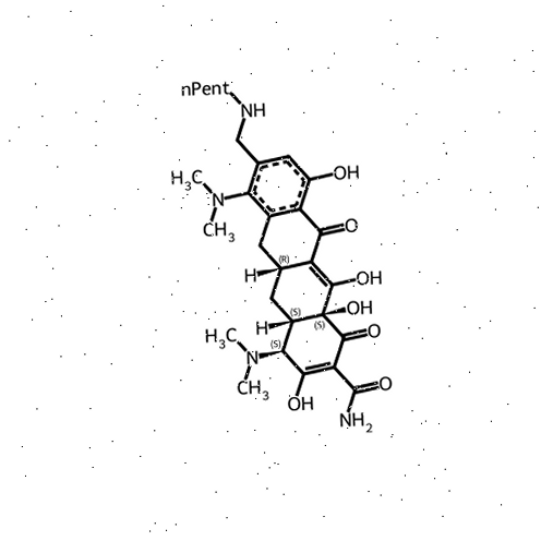 CCCCCNCc1cc(O)c2c(c1N(C)C)C[C@H]1C[C@H]3[C@H](N(C)C)C(O)=C(C(N)=O)C(=O)[C@@]3(O)C(O)=C1C2=O